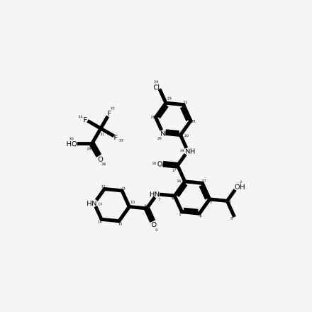 CC(O)c1ccc(NC(=O)C2CCNCC2)c(C(=O)Nc2ccc(Cl)cn2)c1.O=C(O)C(F)(F)F